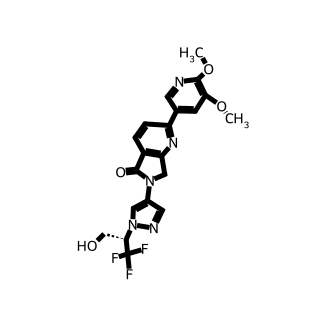 COc1cc(-c2ccc3c(n2)CN(c2cnn([C@@H](CO)C(F)(F)F)c2)C3=O)cnc1OC